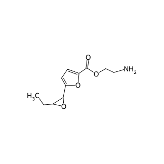 CCC1OC1c1ccc(C(=O)OCCN)o1